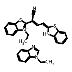 CC[n+]1c(C(C#N)=CC=C2Nc3ccccc3S2)sc2ccccc21.CCn1cnc2ccccc21